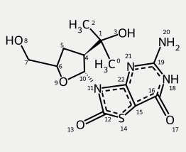 CC(C)(O)[C@@H]1CC(CO)O[C@H]1n1c(=O)sc2c(=O)[nH]c(N)nc21